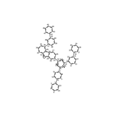 c1ccc(-c2ccc(-c3nc(-c4cccc(-c5ccccc5)c4)nc(-c4ccc5c(c4)oc4cccc(-c6cccc(-c7ccccc7)c6)c45)n3)cc2)cc1